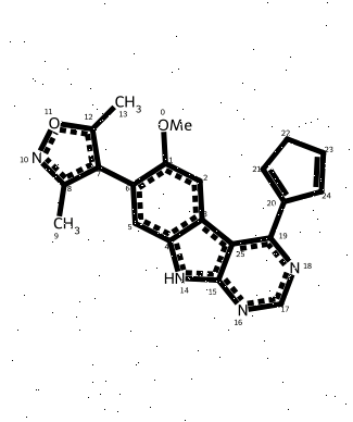 COc1cc2c(cc1-c1c(C)noc1C)[nH]c1ncnc(C3=CCC=C3)c12